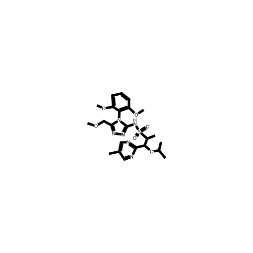 COCc1nnc(NS(=O)(=O)C(C)C(OC(C)C)c2ncc(C)cn2)n1-c1c(OC)cccc1OC